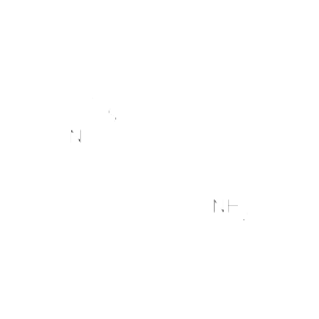 NCCc1cccc(-c2nccs2)c1